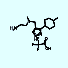 CC1CCC(c2n[nH]cc2CN(C)CCN)CC1.O=C(O)C(F)(F)F